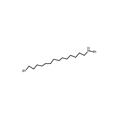 CC(C)CCCCCCCCCCCCCCNC(C)C